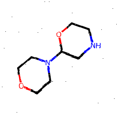 [CH]1COCCN1C1CNCCO1